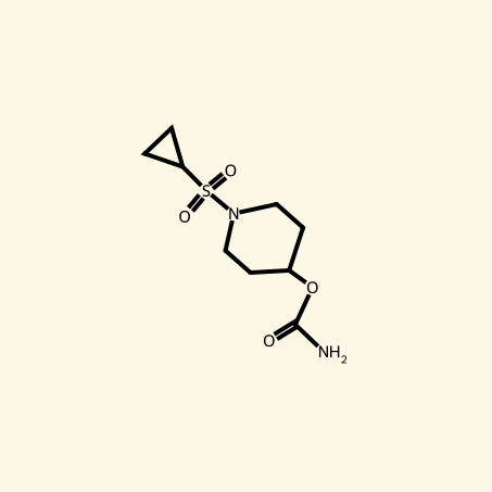 NC(=O)OC1CCN(S(=O)(=O)C2CC2)CC1